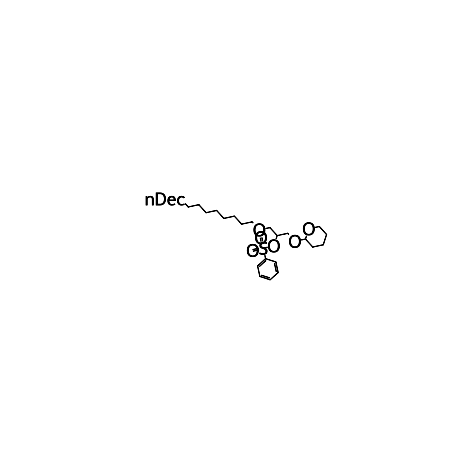 CCCCCCCCCCCCCCCCCCOCC(COC1CCCCO1)OS(=O)(=O)c1ccccc1